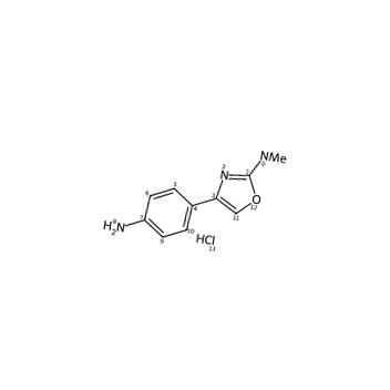 CNc1nc(-c2ccc(N)cc2)co1.Cl